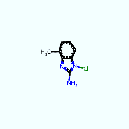 Cc1cccc2c1nc(N)n2Cl